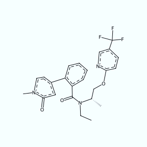 CCN(C(=O)c1ccccc1-c1ccn(C)c(=O)c1)[C@@H](C)COc1ccc(C(F)(F)F)cn1